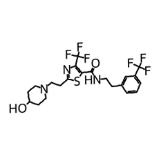 O=C(NCCc1cccc(C(F)(F)F)c1)c1sc(CCN2CCC(O)CC2)nc1C(F)(F)F